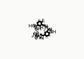 CN(C)S(=O)(=O)n1cnc(-c2ccc3[nH]nc(N)c3c2)c1.N#Cc1cc(B(O)O)ccc1F